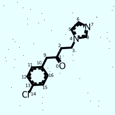 O=C(CCn1ccnc1)Cc1ccc(Cl)cc1